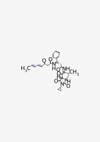 C/C=C/C=C/C(=O)CC(=O)N[C@@H](CC(=O)N[C@@H]1C(=O)[C@@H]2C(=O)N(C3CC3)C(=O)[C@H]2CC1C)c1ccccc1